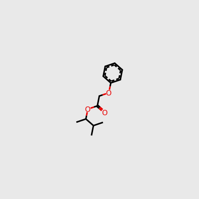 CC(C)C(C)OC(=O)COc1ccccc1